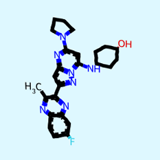 Cc1nc2ccc(F)cc2nc1-c1cc2nc(N3CCCC3)cc(N[C@H]3CC[C@@H](O)CC3)n2n1